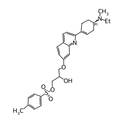 CCN(C)[C@H]1CC=C(c2ccc3ccc(OCC(O)COS(=O)(=O)c4ccc(C)cc4)cc3n2)CC1